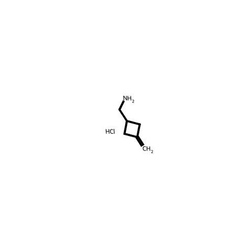 C=C1CC(CN)C1.Cl